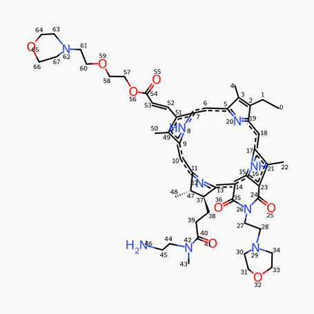 CCC1=C(C)c2cc3[nH]c(cc4nc(c5c6[nH]c(cc1n2)c(C)c6C(=O)N(CCN1CCOCC1)C5=O)[C@@H](CCC(=O)N(C)CCN)[C@@H]4C)c(C)c3/C=C/C(=O)OCCOCCN1CCOCC1